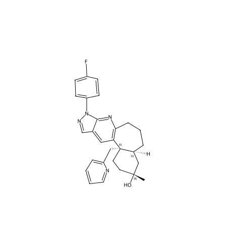 C[C@@]1(O)CC[C@@]2(Cc3ccccn3)c3cc4cnn(-c5ccc(F)cc5)c4nc3CCC[C@H]2C1